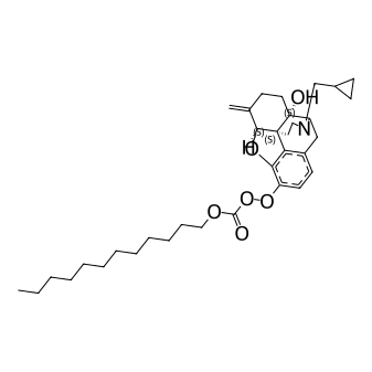 C=C1CC[C@@]2(O)C3Cc4ccc(OOC(=O)OCCCCCCCCCCCC)c5c4[C@@]2(CCN3CC2CC2)[C@H]1O5